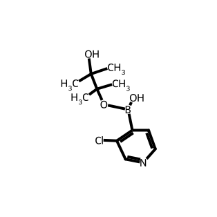 CC(C)(O)C(C)(C)OB(O)c1ccncc1Cl